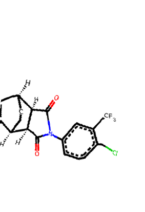 O=C1[C@@H]2[C@H](C(=O)N1c1ccc(Cl)c(C(F)(F)F)c1)[C@@H]1C=C[C@H]2CC1